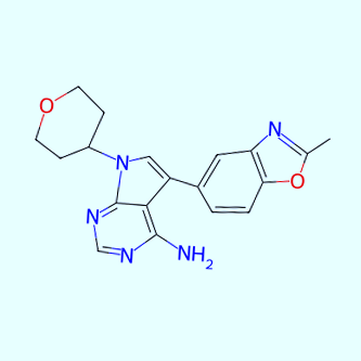 Cc1nc2cc(-c3cn(C4CCOCC4)c4ncnc(N)c34)ccc2o1